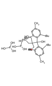 Cc1cc(C(C)(C)C)c(C(O)(c2c(C(C)(C)C)cc(C)cc2C(C)(C)C)C(CO)(CO)CO)c(C(C)(C)C)c1.OP(O)O.OP(O)O